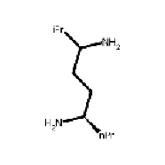 CCC[C@@H](N)CCC(N)C(C)C